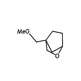 COCC12CCC(C1)OC2